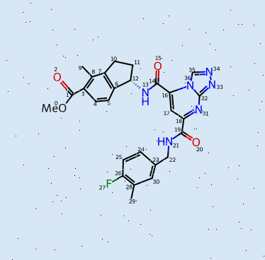 COC(=O)c1ccc2c(c1C)CC[C@@H]2NC(=O)c1cc(C(=O)NCc2ccc(F)c(C)c2)nc2nncn12